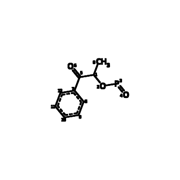 CC(OP=O)C(=O)c1ccccc1